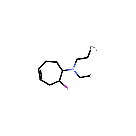 CCCN(CC)C1CCC=CCC1I